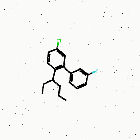 CCCC(CC)c1ccc(Cl)cc1-c1cccc(F)c1